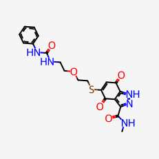 CNC(=O)c1n[nH]c2c1C(=O)C(SCCOCCNC(=O)Nc1ccccc1)=CC2=O